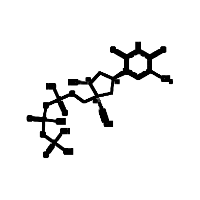 C#C[C@@]1(COP(=O)(O)OP(=O)(O)OP(=O)(O)O)C[C@H](n2cc(C)c(=O)[nH]c2=O)C[C@H]1O